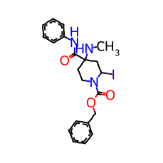 CNC1(C(=O)Nc2ccccc2)CCN(C(=O)OCc2ccccc2)C(I)C1